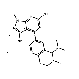 CC(C)C1c2cc(-c3nc(N)nc4c3c(N)nn4C)ccc2CCN1C